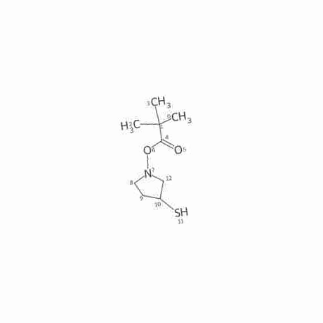 CC(C)(C)C(=O)ON1CCC(S)C1